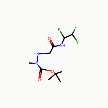 CN(NCC(=O)NC(F)C(F)F)C(=O)OC(C)(C)C